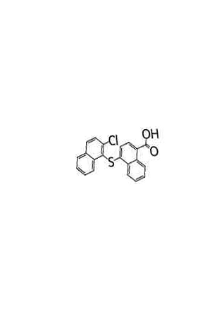 O=C(O)c1ccc(Sc2c(Cl)ccc3ccccc23)c2ccccc12